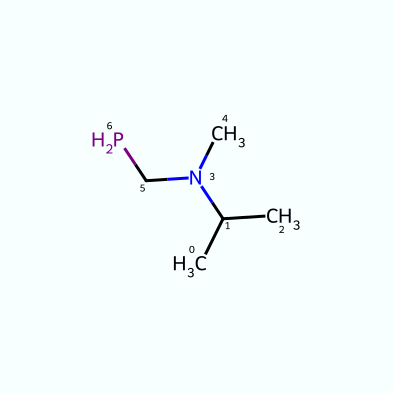 CC(C)N(C)CP